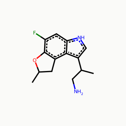 CC1Cc2c(c(F)cc3[nH]cc(C(C)CN)c23)O1